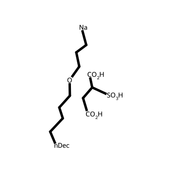 CCCCCCCCCCCCCCOCC[CH2][Na].O=C(O)CC(C(=O)O)S(=O)(=O)O